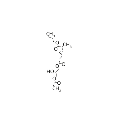 C=CC(=O)OCC(O)COC(=O)CCSCC(C)C(=O)OCCCC